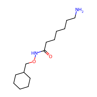 NCCCCCCC(=O)NOCC1CCCCC1